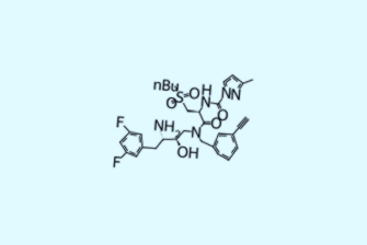 C#Cc1cccc(CN(C[C@@H](O)[C@@H](N)Cc2cc(F)cc(F)c2)C(=O)[C@@H](CS(=O)(=O)CCCC)NC(=O)n2ccc(C)n2)c1